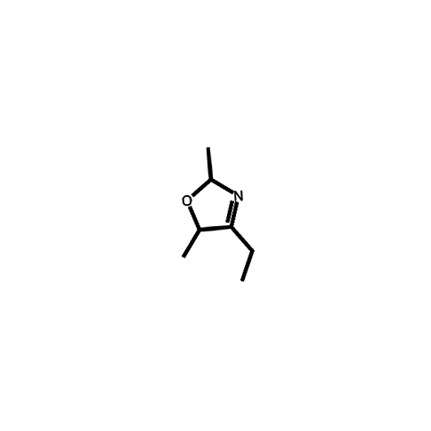 CCC1=NC(C)OC1C